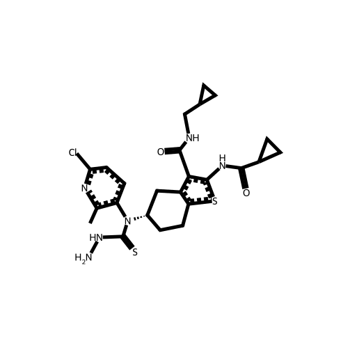 Cc1nc(Cl)ccc1N(C(=S)NN)[C@H]1CCc2sc(NC(=O)C3CC3)c(C(=O)NCC3CC3)c2C1